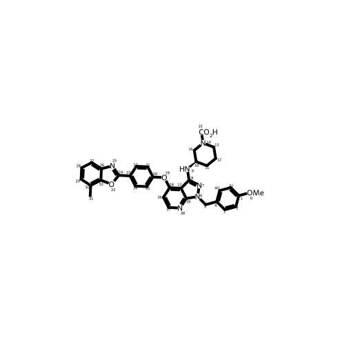 COc1ccc(Cn2nc(N[C@@H]3CCCN(C(=O)O)C3)c3c(Oc4ccc(-c5nc6cccc(C)c6o5)cc4)ccnc32)cc1